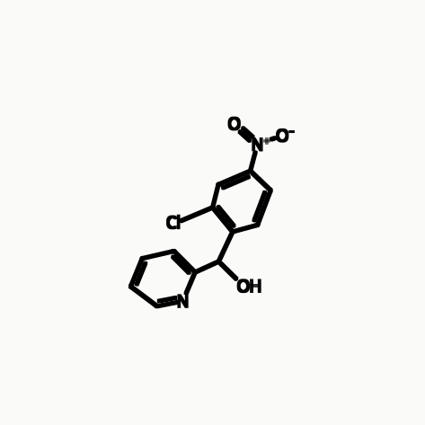 O=[N+]([O-])c1ccc(C(O)c2ccccn2)c(Cl)c1